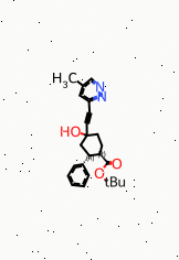 Cc1cnnc(C#CC2(O)CC[C@@H](C(=O)OC(C)(C)C)[C@H](c3ccccc3)C2)c1